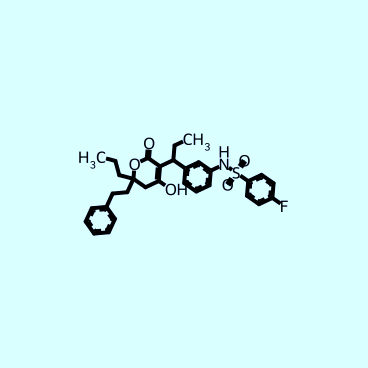 CCCC1(CCc2ccccc2)CC(O)=C(C(CC)c2cccc(NS(=O)(=O)c3ccc(F)cc3)c2)C(=O)O1